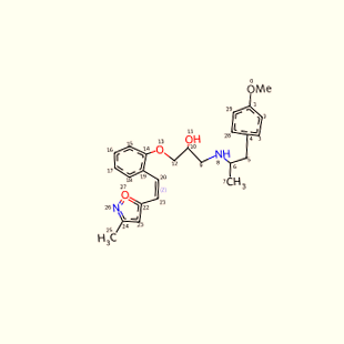 COc1ccc(CC(C)NCC(O)COc2ccccc2/C=C\c2cc(C)no2)cc1